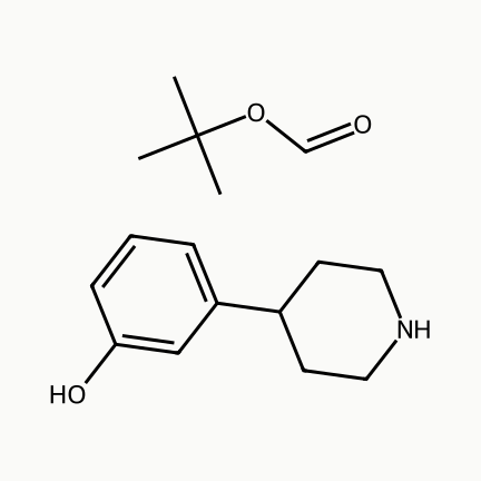 CC(C)(C)OC=O.Oc1cccc(C2CCNCC2)c1